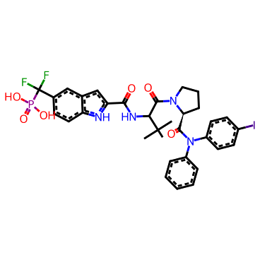 CC(C)(C)C(NC(=O)c1cc2cc(C(F)(F)P(=O)(O)O)ccc2[nH]1)C(=O)N1CCC[C@H]1C(=O)N(c1ccccc1)c1ccc(I)cc1